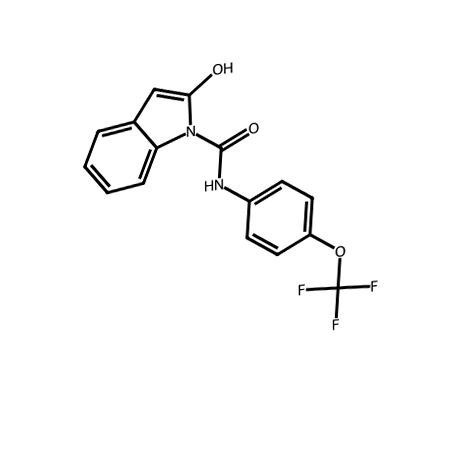 O=C(Nc1ccc(OC(F)(F)F)cc1)n1c(O)cc2ccccc21